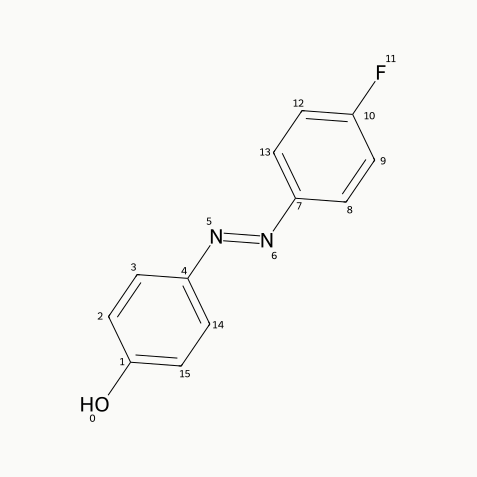 Oc1ccc(N=Nc2ccc(F)cc2)cc1